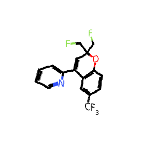 FCC1(CF)C=C(c2ccccn2)c2cc(C(F)(F)F)ccc2O1